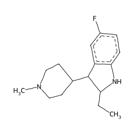 CCC1Nc2ccc(F)cc2C1C1CCN(C)CC1